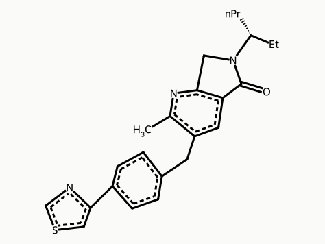 CCC[C@H](CC)N1Cc2nc(C)c(Cc3ccc(-c4cscn4)cc3)cc2C1=O